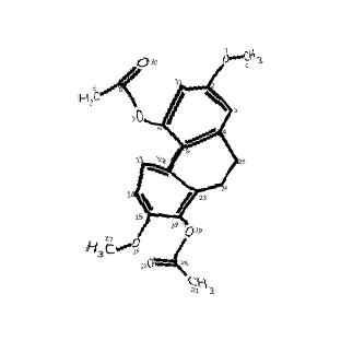 COc1cc2c(c(OC(C)=O)c1)-c1ccc(OC)c(OC(C)=O)c1CC2